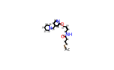 CC(=O)SCCCC(=O)NC/C=C\COc1cc(CN2CCCCC2)ccn1